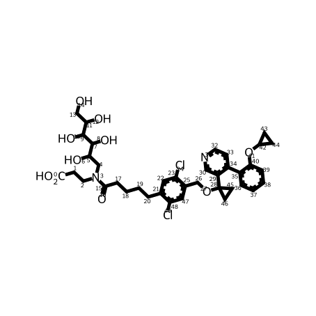 O=C(O)CCN(CC(O)C(O)C(O)C(O)CO)C(=O)CCCCc1cc(Cl)c(COC2(c3cnccc3-c3ccccc3OC3CC3)CC2)cc1Cl